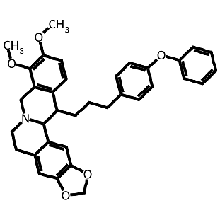 COc1ccc2c(c1OC)CN1CCc3cc4c(cc3C1C2CCCc1ccc(Oc2ccccc2)cc1)OCO4